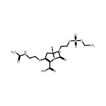 CCOS(=O)(=O)OCC[C@H]1C(=O)N2C(C(=O)O)=C(SCCNC(C)=O)C[C@H]12